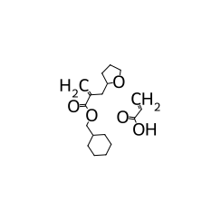 C=C(CC1CCCO1)C(=O)OCC1CCCCC1.C=CC(=O)O